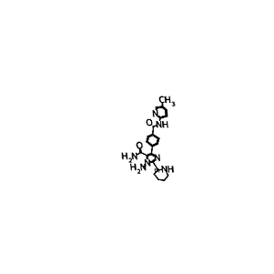 Cc1ccc(NC(=O)c2ccc(-c3nc([C@@H]4CCCCN4)n(N)c3C(N)=O)cc2)nc1